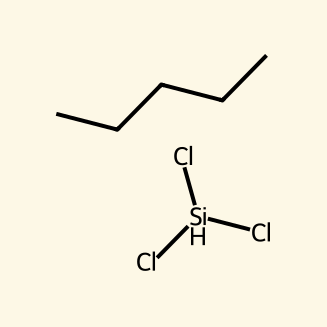 CCCCC.Cl[SiH](Cl)Cl